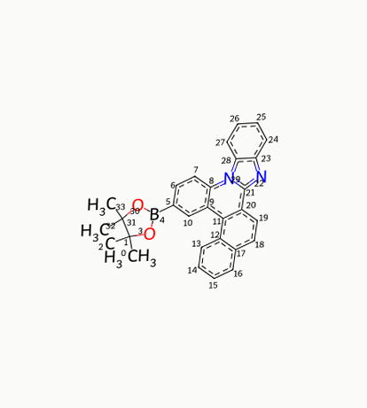 CC1(C)OB(c2ccc3c(c2)c2c4ccccc4ccc2c2nc4ccccc4n32)OC1(C)C